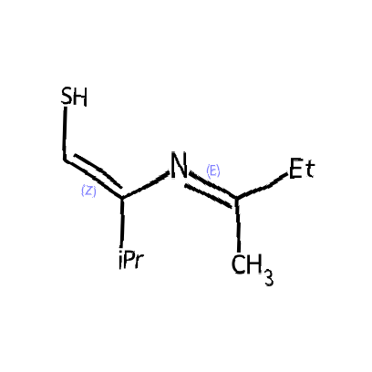 CC/C(C)=N/C(=C\S)C(C)C